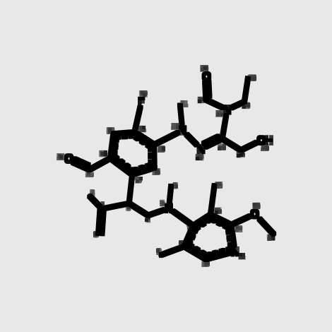 C=C(C)C(CN(C)c1c(C)cnc(OC)c1C)c1cc(N(C)/N=C(/CO)N(C=O)CC)c(F)cc1C=O